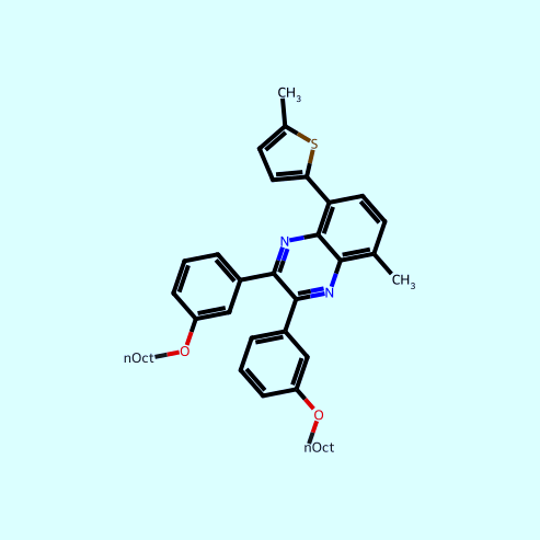 CCCCCCCCOc1cccc(-c2nc3c(C)ccc(-c4ccc(C)s4)c3nc2-c2cccc(OCCCCCCCC)c2)c1